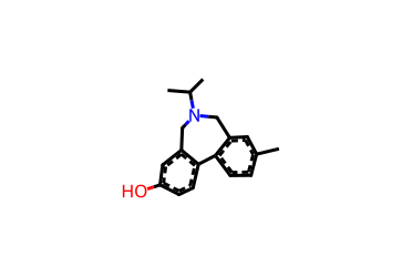 Cc1ccc2c(c1)CN(C(C)C)Cc1cc(O)ccc1-2